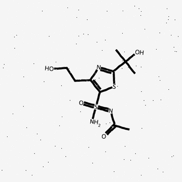 CC(=O)N=S(N)(=O)c1sc(C(C)(C)O)nc1CCO